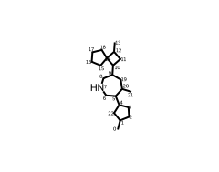 CC1CCC(C2CNCC(C3CC(C)C34CCCC4)CC2C)C1